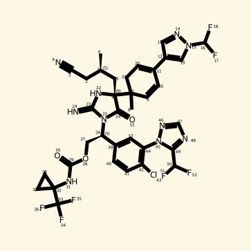 C[C@H](CC#N)C[C@]1(C2(C)C=CC(c3cnn(C(F)F)c3)=CC2)NC(=N)N([C@H](COC(=O)NC2(C(F)(F)F)CC2)c2ccc(Cl)c(-n3ncnc3C(F)F)c2)C1=O